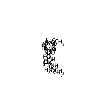 C[C@@H]1[C@H](Oc2nc(OC[C@@]34CCCN3C[C@H](F)C4)nc3c(F)c(-c4ccc(F)c5sc(NC(=O)OC(C)(C)C)c(C#N)c45)ccc23)CCN1C(=O)OC(C)(C)C